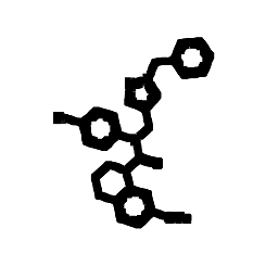 COc1ccc2c(c1)C(C(=O)N(Cc1cnn(Cc3ccccc3)c1)c1ccc(C(C)C)cc1)CCC2